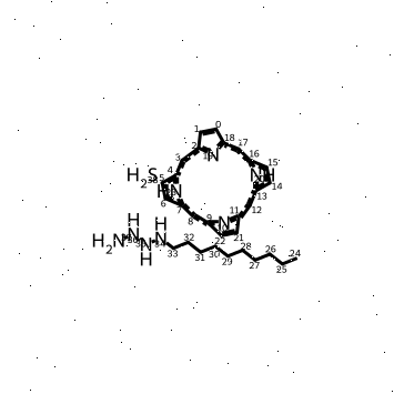 C1=Cc2cc3ccc(cc4nc(cc5ccc(cc1n2)[nH]5)C=C4)[nH]3.CCCCCCCCCCNNNN.S